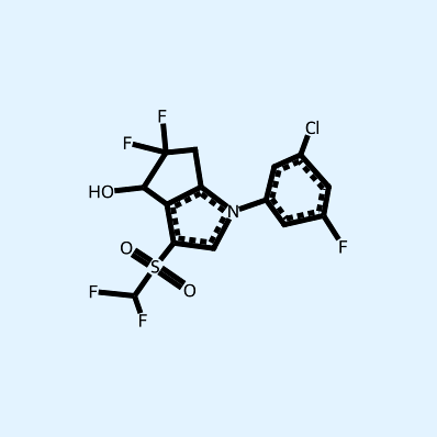 O=S(=O)(c1cn(-c2cc(F)cc(Cl)c2)c2c1C(O)C(F)(F)C2)C(F)F